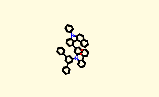 C1=C=C(c2cc(-c3ccccc3)cc(N(c3cccc(-c4cccc5c4c4c6ccccc6ccc4n5-c4ccccc4)c3)c3ccccc3-c3ccccc3)c2)C=CC=1